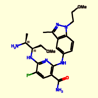 COCCn1nc(C)c2cc(Nc3nc(N[C@H](COC)[C@H](C)N)c(F)cc3C(N)=O)ccc21